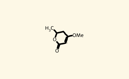 COC1=[C]C(=O)OC(C)C1